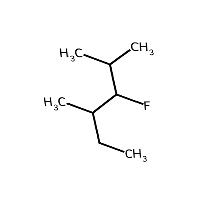 CCC(C)C(F)C(C)C